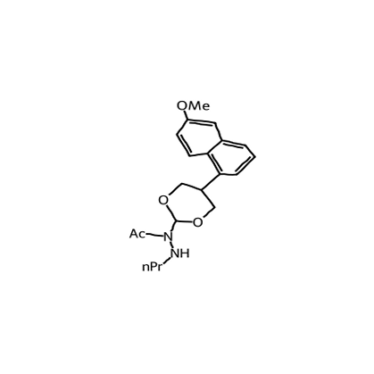 CCCNN(C(C)=O)C1OCC(c2cccc3cc(OC)ccc23)CO1